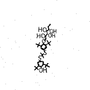 CC[C@H](O)[C@@H](O)[C@H](O)[C@H](O)COc1c(C(C)(C)C)cc(SC(C)(C)Sc2cc(C(C)(C)C)c(O)c(C(C)(C)C)c2)cc1C(C)(C)C